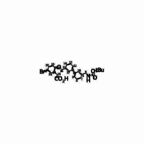 CC(C)(C)OC(=O)NCc1cccc(-c2cccc(COc3ccc(Br)cc3CC(=O)O)c2)c1